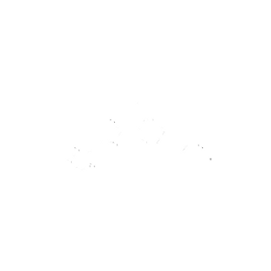 CC(C)n1ncnc1-c1cn2c(n1)-c1ccc(CC(=O)NO)cc1OCC2